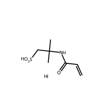 C=CC(=O)NC(C)(C)CS(=O)(=O)O.I